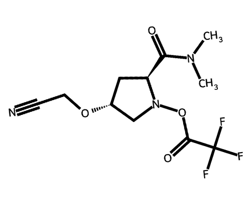 CN(C)C(=O)[C@@H]1C[C@@H](OCC#N)CN1OC(=O)C(F)(F)F